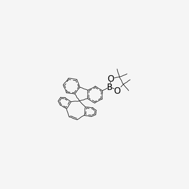 CC1(C)OB(c2ccc3c(c2)-c2ccccc2C32c3ccccc3C=Cc3ccccc32)OC1(C)C